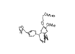 COCCOc1cc2c(-c3ccc(-c4ncco4)cc3)cnnc2cc1OC